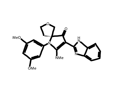 CNC1=C(c2nc3ccccc3[nH]2)C(=O)[C@@]2(CCOC2)N1c1cc(OC)cc(OC)c1